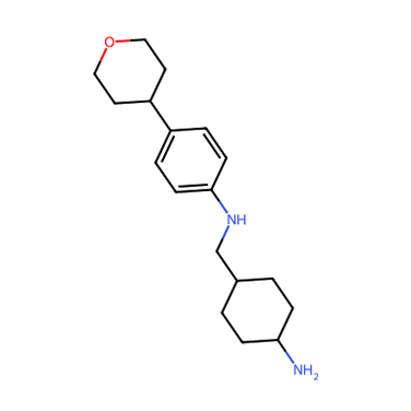 NC1CCC(CNc2ccc(C3CCOCC3)cc2)CC1